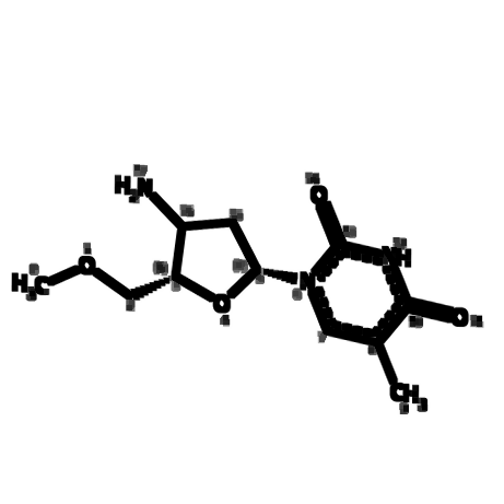 COC[C@H]1O[C@@H](n2cc(C)c(=O)[nH]c2=O)CC1N